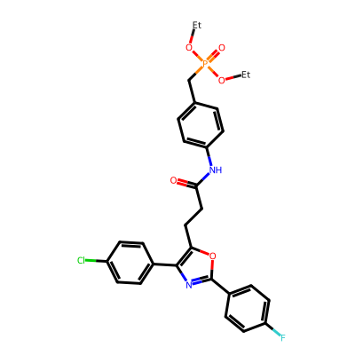 CCOP(=O)(Cc1ccc(NC(=O)CCc2oc(-c3ccc(F)cc3)nc2-c2ccc(Cl)cc2)cc1)OCC